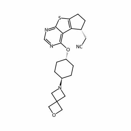 N#CC[C@H]1CCc2sc3ncnc(O[C@H]4CC[C@H](N5CC6(COC6)C5)CC4)c3c21